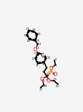 CCO[PH](=O)C(CCc1ccc(OCc2ccccc2)cc1)(OCC)OCC